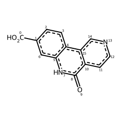 O=C(O)c1ccc2c(c1)[nH]c(=O)c1ccncc12